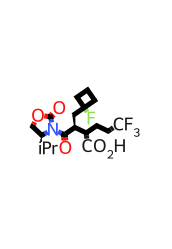 CC(C)[C@@H]1COC(=O)N1C(=O)[C@@H](CC1(F)CCC1)C(CCC(F)(F)F)C(=O)O